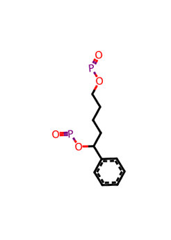 O=POCCCCC(OP=O)c1ccccc1